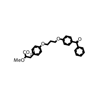 COC(Cc1ccc(OCCCOc2ccc(C(=O)c3ccccc3)cc2)cc1)C(=O)O